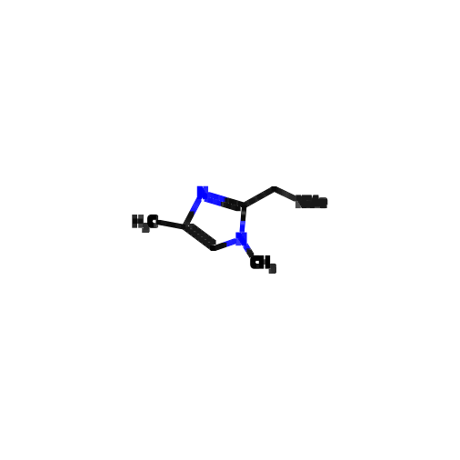 CNCc1nc(C)cn1C